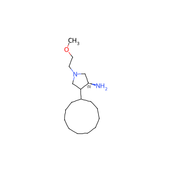 COCCN1CC(C2CCCCCCCCCC2)[C@H](N)C1